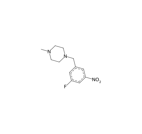 CN1CCN(Cc2cc(F)cc([N+](=O)[O-])c2)CC1